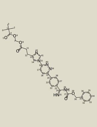 CC(C)(C)C(=O)OCOC(=O)CCc1cn(-c2ccc(-c3ccc(C(=N)NC(=O)OCc4ccccc4)cc3)nn2)cn1